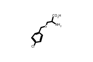 NC(CSCc1ccc(Cl)cc1)C(=O)O